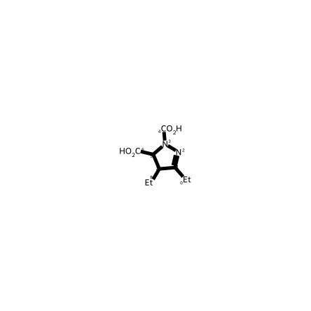 CCC1=NN(C(=O)O)C(C(=O)O)C1CC